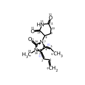 C=C/C=c1\c(=C/C)n(C2CCC(=O)NC2=O)c(=O)n1C